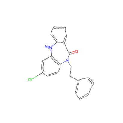 O=C1c2ccccc2Nc2cc(Cl)ccc2N1CCc1ccccc1